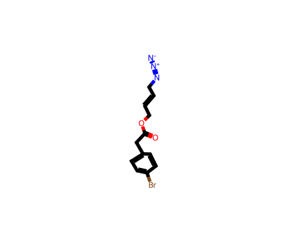 [N-]=[N+]=NC/C=C/COC(=O)Cc1ccc(Br)cc1